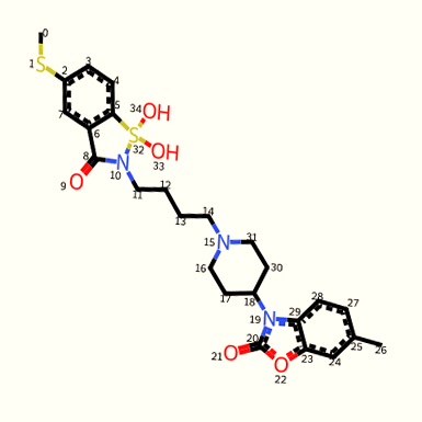 CSc1ccc2c(c1)C(=O)N(CCCCN1CCC(n3c(=O)oc4cc(C)ccc43)CC1)S2(O)O